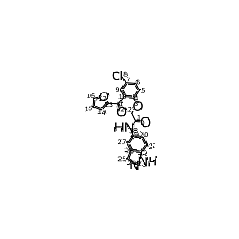 O=C(COc1ccc(Cl)cc1C(=O)c1ccco1)Nc1ccc2[nH]ncc2c1